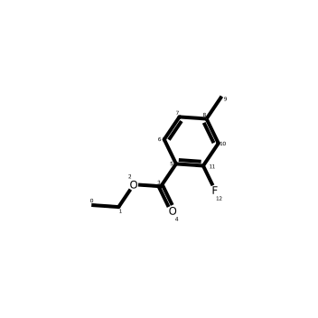 CCOC(=O)c1ccc(C)cc1F